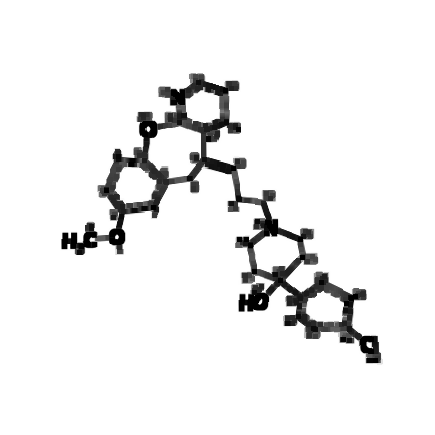 COc1ccc2c(c1)CC(=CCCN1CCC(O)(c3ccc(Cl)cc3)CC1)c1cccnc1O2